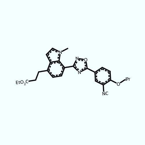 [C-]#[N+]c1cc(-c2nc(-c3ccc(CCC(=O)OCC)c4ccn(C)c34)no2)ccc1OC(C)C